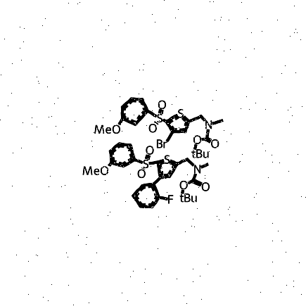 COc1cccc(S(=O)(=O)c2sc(CN(C)C(=O)OC(C)(C)C)cc2-c2ccccc2F)c1.COc1cccc(S(=O)(=O)c2sc(CN(C)C(=O)OC(C)(C)C)cc2Br)c1